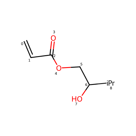 C=CC(=O)OCC(O)C(C)C